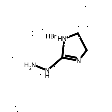 Br.NNC1=NCCN1